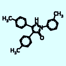 Cc1ccc(-c2[nH]n(-c3cccc(C)c3)c(=O)c2-c2ccc(C)cc2)cc1